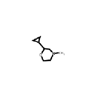 CN1CCOC(C2CC2)C1